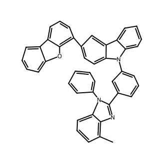 Cc1cccc2c1nc(-c1cccc(-n3c4ccccc4c4cc(-c5cccc6c5oc5ccccc56)ccc43)c1)n2-c1ccccc1